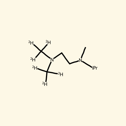 [2H]C([2H])([2H])N(CCN(C)C(C)C)C([2H])([2H])[2H]